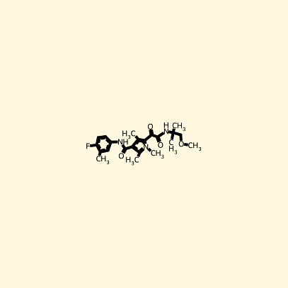 COCC(C)(C)NC(=O)C(=O)c1c(C)c(C(=O)Nc2ccc(F)c(C)c2)c(C)n1C